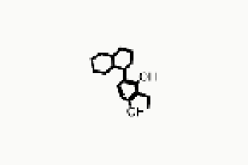 CCc1c(O)ccc(C2CCCC3CCCCC32)c1O